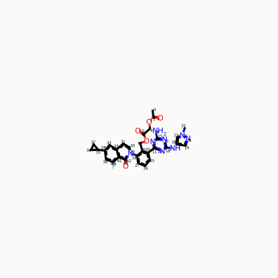 CC(=O)OCC(=O)OCc1c(-c2nc(N)nc(Nc3cnn(C)c3)n2)cccc1-n1ccc2cc(C3CC3)cc(F)c2c1=O